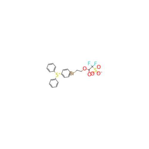 O=C(OCCBr)C(F)(F)S(=O)(=O)[O-].c1ccc([S+](c2ccccc2)c2ccccc2)cc1